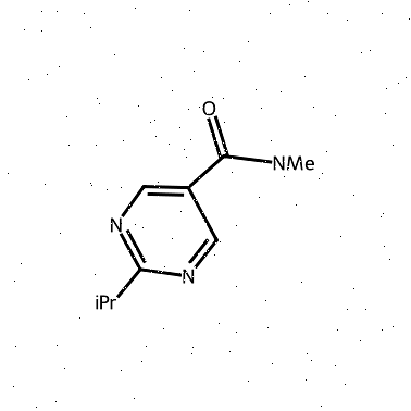 CNC(=O)c1cnc(C(C)C)nc1